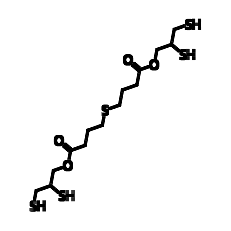 O=C(CCCSCCCC(=O)OCC(S)CS)OCC(S)CS